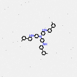 Cc1cccc(-c2cccc(Nc3ccc(N(c4ccc(Nc5cccc(-c6cccc(C)c6)c5)cc4)c4ccc(Nc5cccc(-c6cccc(C)c6)c5)cc4)cc3)c2)c1